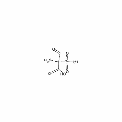 NC(C=O)(C(=O)O)S(=O)(=O)O